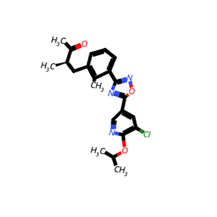 CC(=O)[C@H](C)Cc1cccc(-c2noc(-c3cnc(OC(C)C)c(Cl)c3)n2)c1C